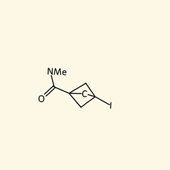 CNC(=O)C12CC(I)(C1)C2